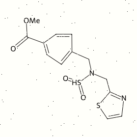 COC(=O)c1ccc(CN(Cc2nccs2)[SH](=O)=O)cc1